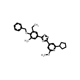 CCc1cc(-c2nnc(-c3cc(OC)nc(C4CCCC4)c3)o2)cc(C)c1OCc1ccccc1